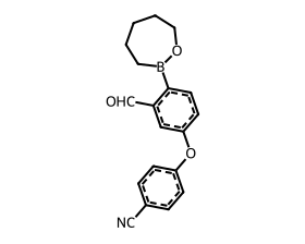 N#Cc1ccc(Oc2ccc(B3CCCCCO3)c(C=O)c2)cc1